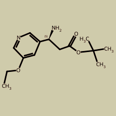 CCOc1cncc([C@@H](N)CC(=O)OC(C)(C)C)c1